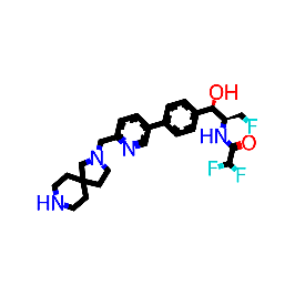 O=C(N[C@H](CF)[C@H](O)c1ccc(-c2ccc(CN3CCC4(CCNCC4)C3)nc2)cc1)C(F)F